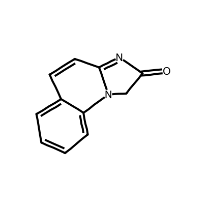 O=C1CN2C(=N1)C=Cc1ccccc12